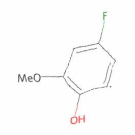 COc1cc(F)c[c]c1O